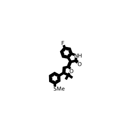 CSc1cccc(C2=CC(=C3C(=O)Nc4cc(F)ccc43)OC2(C)C)c1